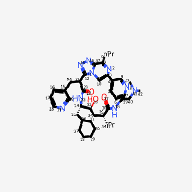 CCCc1nc(-c2cccnc2)cn2c(C(Cc3cccnc3)C(=O)N[C@@H](CC3CCCCC3)[C@@H](O)C[C@H](C(=O)NCCN(C)C)C(C)C)nnc12